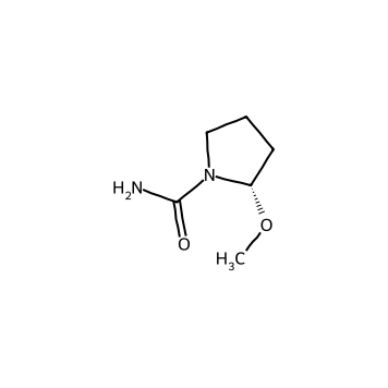 CO[C@H]1CCCN1C(N)=O